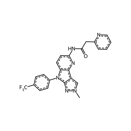 Cn1cc2c3nc(NC(=O)Cc4ccccn4)ccc3n(-c3ccc(C(F)(F)F)cc3)c2n1